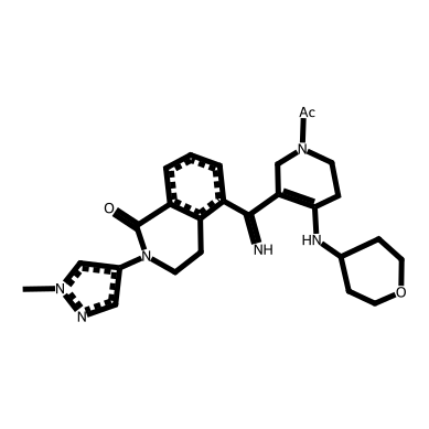 CC(=O)N1CCC(NC2CCOCC2)=C(C(=N)c2cccc3c2CCN(c2cnn(C)c2)C3=O)C1